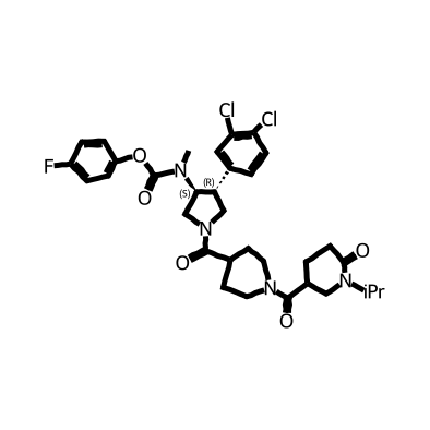 CC(C)N1CC(C(=O)N2CCC(C(=O)N3C[C@@H](N(C)C(=O)Oc4ccc(F)cc4)[C@H](c4ccc(Cl)c(Cl)c4)C3)CC2)CCC1=O